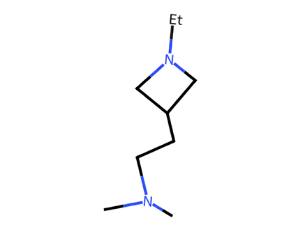 CCN1CC(CCN(C)C)C1